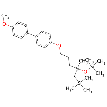 C[Si](C)(C)C[Si](C)(CCCOc1ccc(-c2ccc(OC(F)(F)F)cc2)cc1)O[Si](C)(C)C